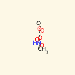 CCC(=O)NCC(=O)OCCCC(=O)OCc1ccccc1